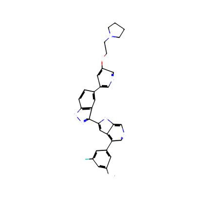 COc1cc(F)cc(-c2cncc3[nH]c(-c4n[nH]c5ccc(-c6cncc(OCCN7CCCC7)c6)cc45)cc23)c1